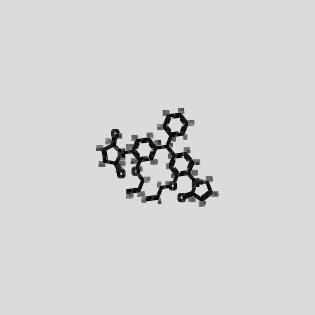 C=CCOc1cc(C(c2ccccc2)c2ccc(N3C(=O)C=CC3=O)c(OCC=C)c2)ccc1N1CC=CC1=O